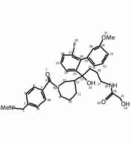 CNCc1ccc(C(=O)N2CCCC(C(O)(CCCNC(=O)CO)c3cccc(F)c3-c3cccc(OC)c3)C2)cc1